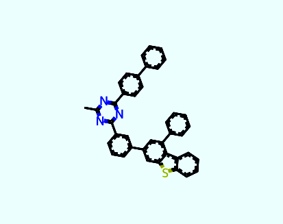 Cc1nc(-c2ccc(-c3ccccc3)cc2)nc(-c2cccc(-c3cc(-c4ccccc4)c4c(c3)sc3ccccc34)c2)n1